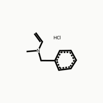 C=CN(C)Cc1ccccc1.Cl